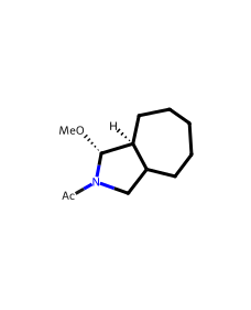 CO[C@@H]1[C@H]2CCCCCC2CN1C(C)=O